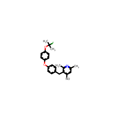 Cc1cc(N=O)c(Cc2ccc(Oc3ccc(OC(C)(C)F)cc3)cc2)c(C)n1